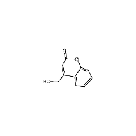 O=c1cc(CO)c2ccccc2o1